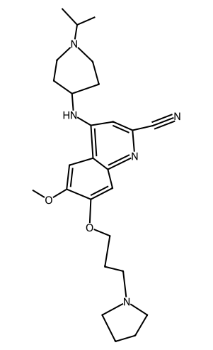 COc1cc2c(NC3CCN(C(C)C)CC3)cc(C#N)nc2cc1OCCCN1CCCC1